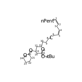 CCCCC/C=C\C/C=C\CCCCCCCC(CC(=O)OC(C)(C)C)OC1CCCCO1